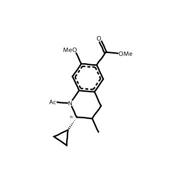 COC(=O)c1cc2c(cc1OC)N(C(C)=O)[C@@H](C1CC1)C(C)C2